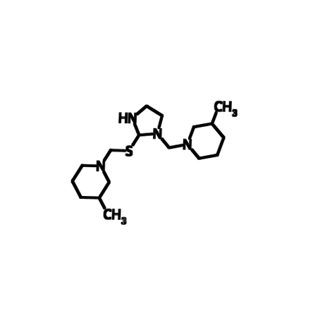 CC1CCCN(CSC2NCCN2CN2CCCC(C)C2)C1